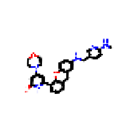 CNc1ccc(CNc2ccc3c(c2)Cc2cccc(-c4cc(N5CCOCC5)cc(=O)[nH]4)c2O3)cn1